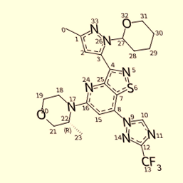 Cc1cc(-c2nsc3c(-n4cnc(C(F)(F)F)n4)cc(N4CCOC[C@H]4C)nc23)n(C2CCCCO2)n1